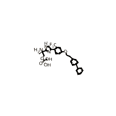 C[C@](N)(COP(=O)(O)O)c1nc(-c2ccc(OCCc3ccc(-c4ccccc4)cc3)cc2C(F)(F)F)c[nH]1